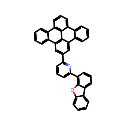 c1cc(-c2cc3c4ccccc4c4cccc5c6ccccc6c(c2)c3c45)nc(-c2cccc3c2oc2ccccc23)c1